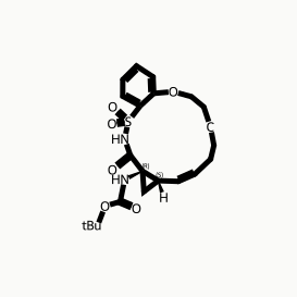 CC(C)(C)OC(=O)N[C@]12C[C@H]1C=CCCCCCOc1ccccc1S(=O)(=O)NC2=O